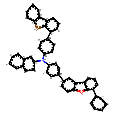 c1ccc(-c2cccc3c2oc2ccc(-c4ccc(N(c5ccc(-c6cccc7c6sc6ccccc67)cc5)c5ccc6ccccc6c5)cc4)cc23)cc1